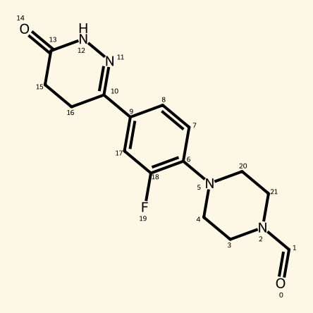 O=CN1CCN(c2ccc(C3=NNC(=O)CC3)cc2F)CC1